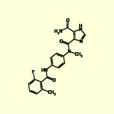 Cc1cccc(F)c1C(=O)Nc1ccc(N(C)C(=O)c2nc[nH]c2C(N)=O)cc1